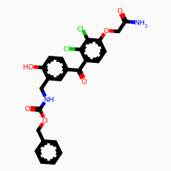 NC(=O)COc1ccc(C(=O)c2ccc(O)c(CNC(=O)OCc3ccccc3)c2)c(Cl)c1Cl